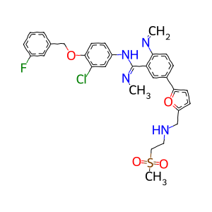 C=Nc1ccc(-c2ccc(CNCCS(C)(=O)=O)o2)cc1/C(=N\C)Nc1ccc(OCc2cccc(F)c2)c(Cl)c1